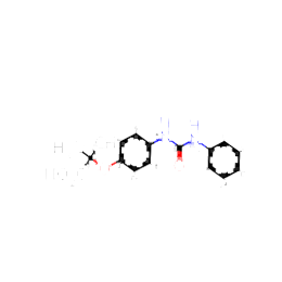 CC(C)(Oc1ccc(NC(=O)Nc2ccccc2)cc1)C(=O)O